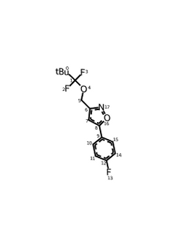 CC(C)(C)C(F)(F)OCc1cc(-c2ccc(F)cc2)on1